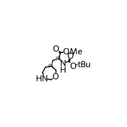 COC(=O)[C@H](C[C@@H]1CCNCOC1)NC(=O)OC(C)(C)C